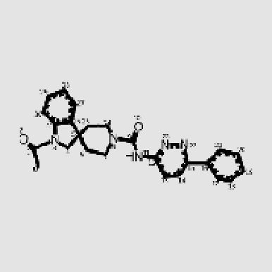 CC(=O)N1CC2(CCN(C(=O)Nc3ccc(-c4ccccc4)nn3)CC2)c2ccccc21